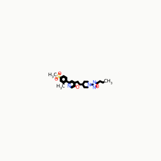 CCCc1nc(N2CCC(C3Cc4cc(-c5ccc(S(C)(=O)=O)cc5C)ncc4O3)CC2)no1